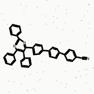 N#Cc1ccc(-c2ccc(-c3ccc(-c4nc(-c5ccccc5)nc(-c5ccccc5)c4-c4ccccc4)cc3)cc2)cc1